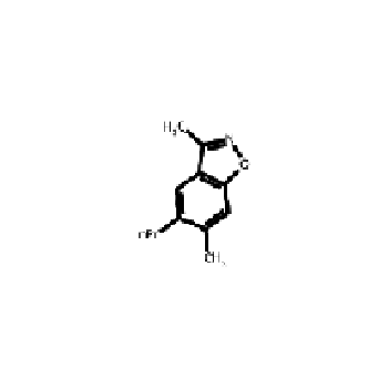 CCCc1cc2c(C)noc2cc1C